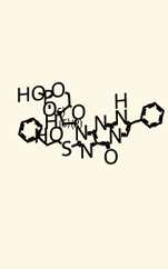 O=c1c2nc(SCCc3ccccc3)n([C@@H]3OC4COP(O)O[C@H]4[C@@H]3O)c2nc2[nH]c(-c3ccccc3)cn12